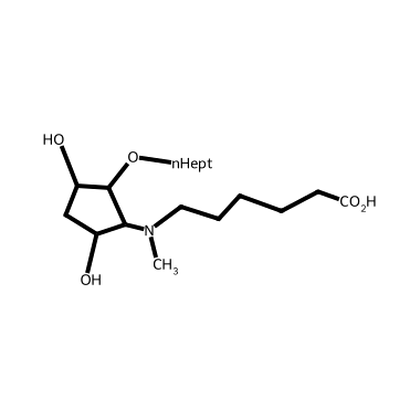 CCCCCCCOC1C(O)CC(O)C1N(C)CCCCCC(=O)O